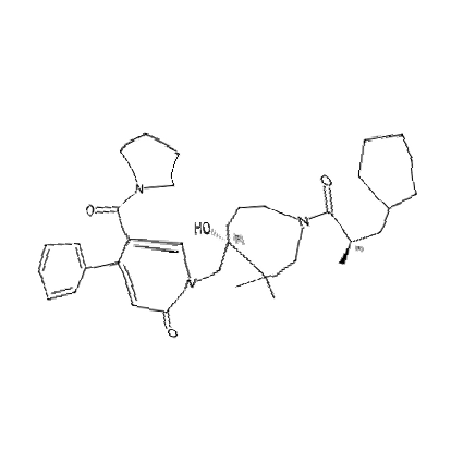 C[C@H](CC1CCCCC1)C(=O)N1CC[C@](O)(Cn2cc(C(=O)N3CCCC3)c(-c3ccccc3)cc2=O)C(C)(C)C1